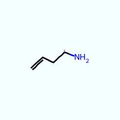 C=CC[CH]N